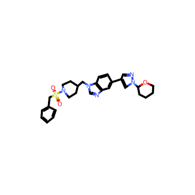 O=S(=O)(Cc1ccccc1)N1CCC(Cn2cnc3cc(-c4cnn(C5CCCCO5)c4)ccc32)CC1